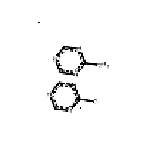 Clc1ncncn1.Nc1ncncn1